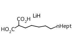 CCCCCCCCCCCCC(C(=O)O)C(=O)O.[LiH]